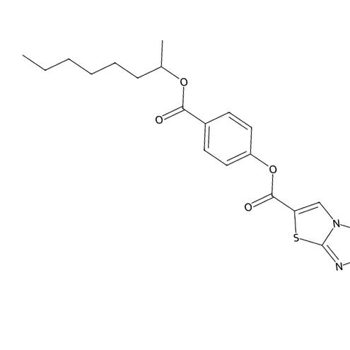 CCCCCCC(C)OC(=O)c1ccc(OC(=O)c2cn3ccnc3s2)cc1